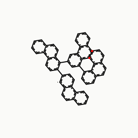 [c]1c(-c2ccc3c(ccc4ccccc43)c2-c2cc(-c3cccc4ccc5ccccc5c34)c3ccc4ccccc4c3c2)ccc2c1ccc1ccccc12